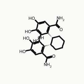 NC(=O)c1cc(O)c(O)c(O)c1[C@H]1CCCC[C@H]1c1c(C(N)=O)cc(O)c(O)c1O